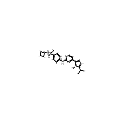 CC(C)c1ncc(-c2ccnc(Nc3ccc(S(=O)(=O)NC4CCC4)cc3)n2)n1C